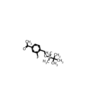 CC(=O)c1ccc(CO[Si](C)(C)C(C)(C)C)c(F)c1